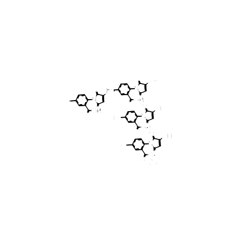 CC1=CC(=O)N(c2ccc(Br)cc2C(=O)O)C1=O.CC1=CC(=O)N(c2ccc(Br)cc2C(=O)O)C1=O.CC1=CC(=O)N(c2ccc(Cl)cc2C(=O)O)C1=O.CC1=CC(=O)N(c2ccc(Cl)cc2C(=O)O)C1=O.[Zn]